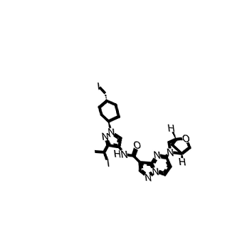 CC(I)c1nn([C@H]2CC[C@H](CI)CC2)cc1NC(=O)c1cnn2ccc(N3C[C@H]4C[C@@H]3CO4)nc12